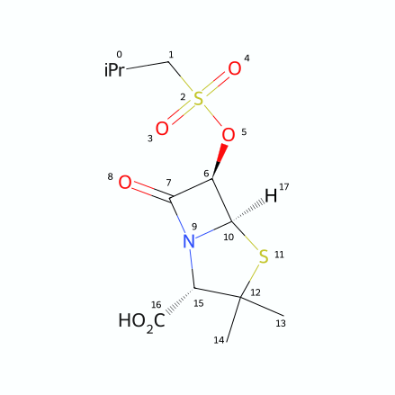 CC(C)CS(=O)(=O)O[C@@H]1C(=O)N2[C@@H]1SC(C)(C)[C@@H]2C(=O)O